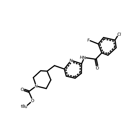 CC(C)(C)OC(=O)N1CCC(Cc2cccc(NC(=O)c3ccc(Cl)cc3F)n2)CC1